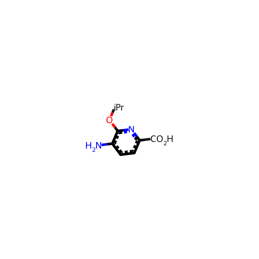 CC(C)Oc1nc(C(=O)O)ccc1N